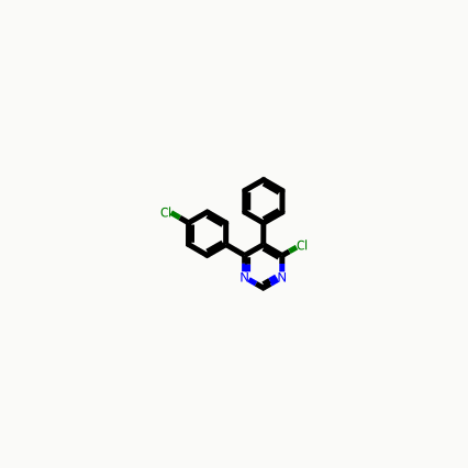 Clc1ccc(-c2ncnc(Cl)c2-c2ccccc2)cc1